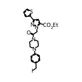 CCOC(=O)c1cc(-c2cccs2)nn1CC(=O)N1CCN(c2ccc(CI)cc2)CC1